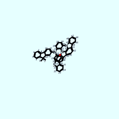 CC1(C)c2ccccc2-c2ccc(N(c3ccc4c(c3)sc3ccccc34)c3cccc4c3n3c5ccccc5c5ccc6c7ccccc7n4c6c53)cc21